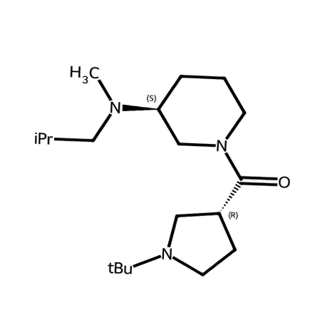 CC(C)CN(C)[C@H]1CCCN(C(=O)[C@@H]2CCN(C(C)(C)C)C2)C1